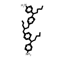 CCCCC(c1ccc(N)cc1)c1ccc(CC(CCC)Cc2ccc(C(CCCC)c3ccc(N)cc3)cc2)cc1